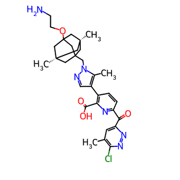 Cc1cc(C(=O)c2ccc(-c3cnn(CC45CC6(OCCN)C[C@](C)(C4)C[C@](C)(C5)C6)c3C)c(C(=O)O)n2)nnc1Cl